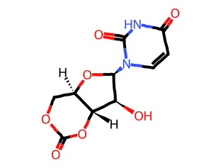 O=C1OC[C@H]2O[C@@H](n3ccc(=O)[nH]c3=O)[C@@H](O)[C@@H]2O1